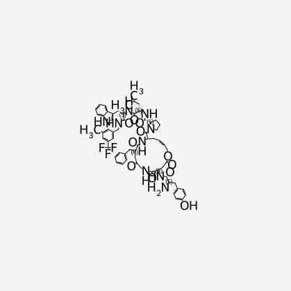 Cc1cc(CNC(=O)[C@H](Cc2c[nH]c3ccccc23)NC(=O)[C@H](CC(C)C)NC(=O)[C@@H]2CCCN2C(=O)C2CC=CCOC(=O)C[C@@H](NC(=O)[C@@H](N)Cc3ccc(O)cc3)C(=O)NCC(=O)C[C@@H](Cc3ccccc3)C(=O)N2)cc(C(F)(F)F)c1